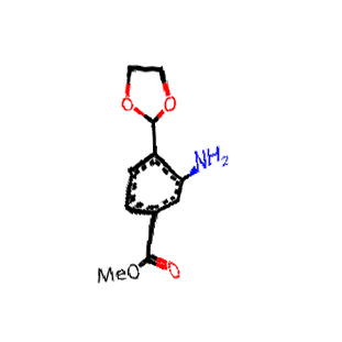 COC(=O)c1ccc(C2OCCO2)c(N)c1